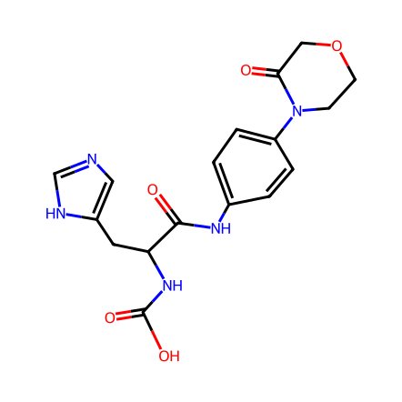 O=C(O)NC(Cc1cnc[nH]1)C(=O)Nc1ccc(N2CCOCC2=O)cc1